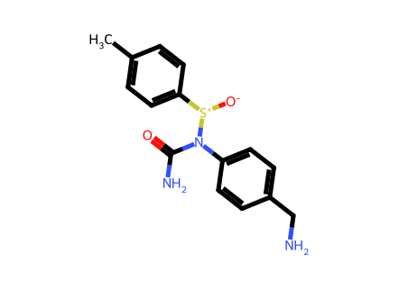 Cc1ccc([S+]([O-])N(C(N)=O)c2ccc(CN)cc2)cc1